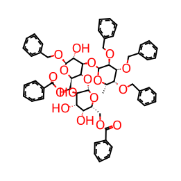 C[C@@H]1O[C@@H](O[C@@H]2[C@@H](O)[C@H](OCc3ccccc3)O[C@H](COC(=O)c3ccccc3)[C@H]2O[C@@H]2O[C@H](COC(=O)c3ccccc3)[C@H](O)[C@H](O)[C@H]2O)[C@@H](OCc2ccccc2)[C@H](OCc2ccccc2)[C@@H]1OCc1ccccc1